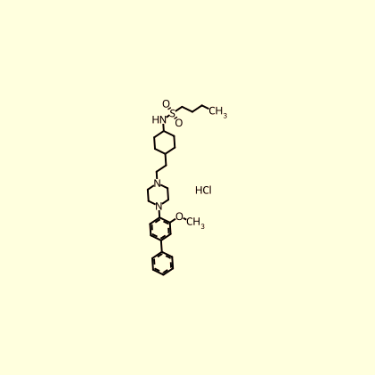 CCCCS(=O)(=O)NC1CCC(CCN2CCN(c3ccc(-c4ccccc4)cc3OC)CC2)CC1.Cl